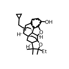 CCC1(C)OC23CC[C@@]4(C[C@@H]2C1(C)C)[C@H]1Cc2ccc(O)c5c2[C@@]4(CCN1CC1CC1)[C@H]3O5